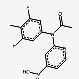 CC(=O)N(c1cc(F)c(C)c(F)c1)c1cc(NO)ccn1